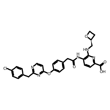 O=C(Cc1ccc(Oc2ccnc(Cc3ccc(Cl)cc3)n2)cc1)Nc1ccc(C(=O)O)nc1NC[C@@H]1CCO1